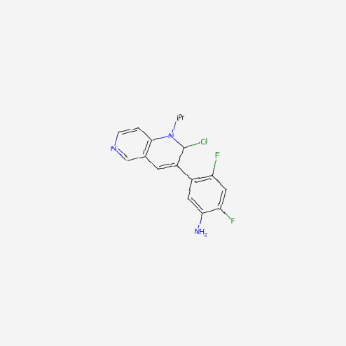 CC(C)N1c2ccncc2C=C(c2cc(N)c(F)cc2F)C1Cl